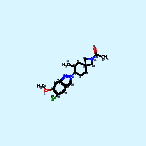 COc1cc2nn(C3CCC4(CC3C)CN(C(C)=O)C4)cc2cc1Br